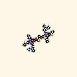 c1ccc(-n2c3ccccc3c3ccc(-c4nc(-c5ccc6oc7c(-c8cccc9c8oc8cc(-n%10c%11ccccc%11c%11cc%12ccccc%12cc%11%10)c(-c%10nc(-c%11ccc%12sc%13ccccc%13c%12c%11)nc(-c%11ccc%12c%13ccccc%13n(-c%13ccccc%13)c%12c%11)n%10)cc89)cccc7c6c5)nc(-c5cc6c(cc5-n5c7ccccc7c7cc8ccccc8cc75)oc5ccccc56)n4)cc32)cc1